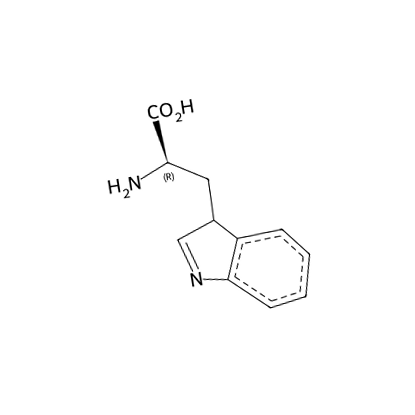 N[C@H](CC1C=Nc2ccccc21)C(=O)O